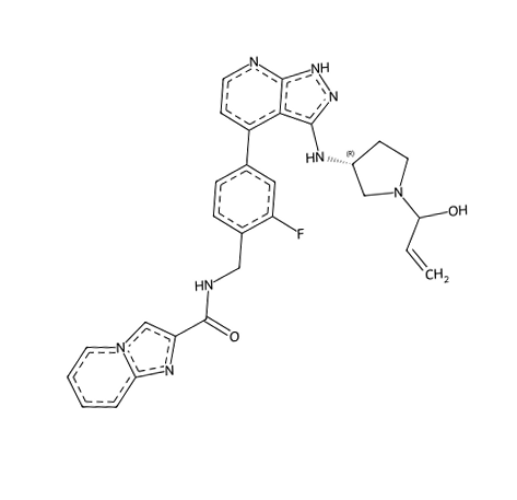 C=CC(O)N1CC[C@@H](Nc2n[nH]c3nccc(-c4ccc(CNC(=O)c5cn6ccccc6n5)c(F)c4)c23)C1